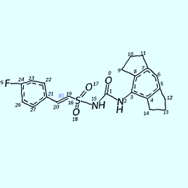 O=C(Nc1c2c(cc3c1CCC3)CCC2)NS(=O)(=O)/C=C/c1ccc(F)cc1